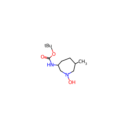 CC1CCC(NC(=O)OC(C)(C)C)CN(O)C1